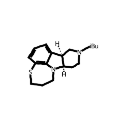 CCC(C)N1CC[C@@H]2[C@H](C1)c1cccc3c1N2CCCS3